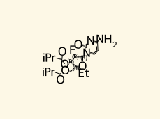 CC[C@]1(COC(=O)C(C)C)O[C@@H](n2ccc(N)nc2=O)[C@H](F)[C@@H]1OC(=O)C(C)C